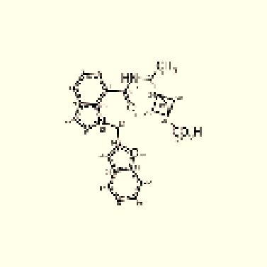 CC(NC(=O)c1cccc2ccn(Cc3cc4ccccc4o3)c12)[C@]12C[C@](C(=O)O)(C1)C2